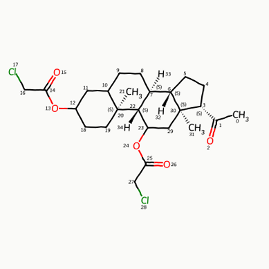 CC(=O)[C@H]1CC[C@H]2[C@@H]3CCC4CC(OC(=O)CCl)CC[C@]4(C)[C@H]3C(OC(=O)CCl)C[C@]12C